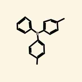 Cc1ccc(B(c2ccccc2)c2ccc(C)cc2)cc1